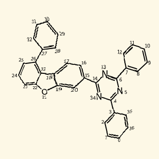 c1ccc(-c2nc(-c3ccccc3)nc(-c3ccc4c(c3)oc3cccc(-c5ccccc5)c34)n2)cc1